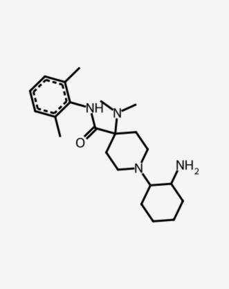 Cc1cccc(C)c1NC(=O)C1(N(C)C)CCN(C2CCCCC2N)CC1